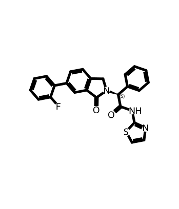 O=C(Nc1nccs1)[C@H](c1ccccc1)N1Cc2ccc(-c3ccccc3F)cc2C1=O